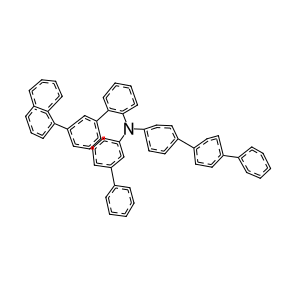 c1ccc(-c2ccc(-c3ccc(N(c4cccc(-c5ccccc5)c4)c4ccccc4-c4cccc(-c5cccc6ccccc56)c4)cc3)cc2)cc1